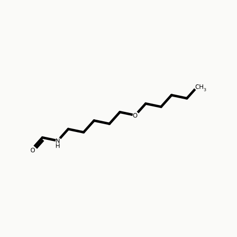 CCCCCOCCCCCNC=O